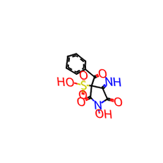 N=C1C(=O)N(O)C(=O)C1(C(=O)c1ccccc1)S(=O)(=O)O